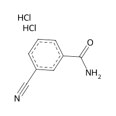 Cl.Cl.N#Cc1cccc(C(N)=O)c1